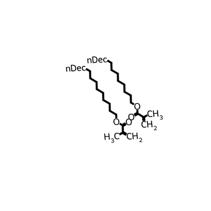 C=C(C)C(=O)OCCCCCCCCCCCCCCCCCC.C=C(C)C(=O)OCCCCCCCCCCCCCCCCCCC